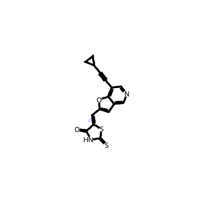 O=C1NC(=S)S/C1=C\c1cc2cncc(C#CC3CC3)c2o1